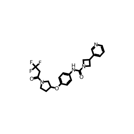 O=C(CC(F)(F)F)N1CCC(Oc2ccc(NC(=O)N3CC(c4cccnc4)C3)cc2)C1